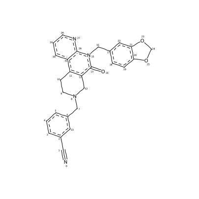 N#Cc1cccc(CN2CCc3c(c(=O)n(Cc4ccc5c(c4)OCO5)c4ncccc34)C2)c1